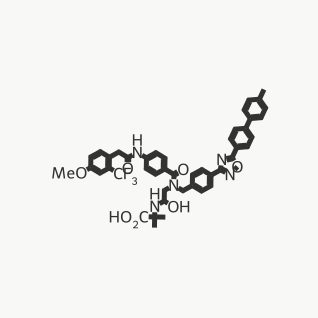 COc1ccc(CC(=O)Nc2ccc(C(=O)N(Cc3ccc(-c4noc(-c5ccc(-c6ccc(C)cc6)cc5)n4)cc3)CC(O)NC(C)(C)C(=O)O)cc2)c(C(F)(F)F)c1